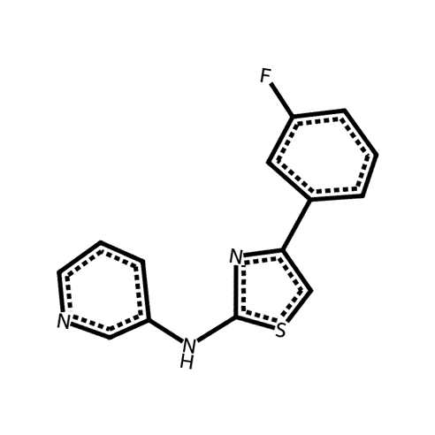 Fc1cccc(-c2csc(Nc3cccnc3)n2)c1